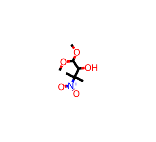 COC(OC)C(O)C(C)(C)[N+](=O)[O-]